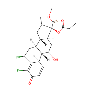 CCC(=O)O[C@]1(C(=S)OC)C(C)C[C@H]2[C@@H]3C[C@H](F)C4=C(F)C(=O)C=C[C@]4(C)[C@H]3[C@@H](O)C[C@@]21C